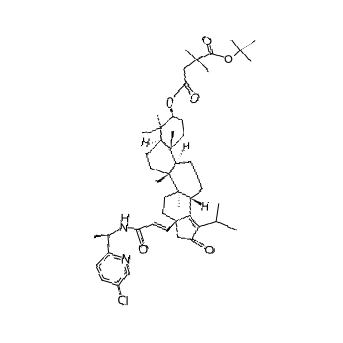 CC(C)C1=C2[C@H]3CC[C@@H]4[C@@]5(C)CC[C@H](OC(=O)CC(C)(C)C(=O)OC(C)(C)C)C(C)(C)[C@@H]5CC[C@@]4(C)[C@]3(C)CC[C@@]2(C=CC(=O)N[C@H](C)c2ccc(Cl)cn2)CC1=O